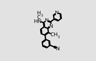 CNc1nc(-c2cccnc2)nc2c(C)c(-c3cccc(C#N)c3)ccc12